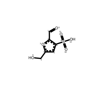 O=Cc1oc(CO)cc1S(=O)(=O)O